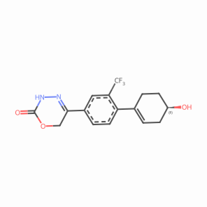 O=C1NN=C(c2ccc(C3=CC[C@H](O)CC3)c(C(F)(F)F)c2)CO1